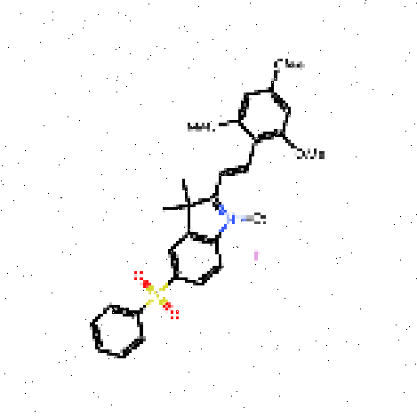 CC[N+]1=C(C=Cc2c(OC)cc(OC)cc2OC)C(C)(C)c2cc(S(=O)(=O)c3ccccc3)ccc21.[I-]